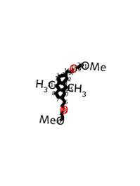 COCCOCCc1ccc2c(C)c3ccc(CCOCCOC)cc3c(C)c2c1